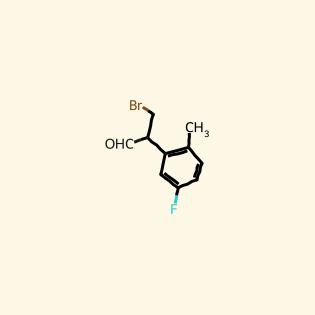 Cc1ccc(F)cc1C(C=O)CBr